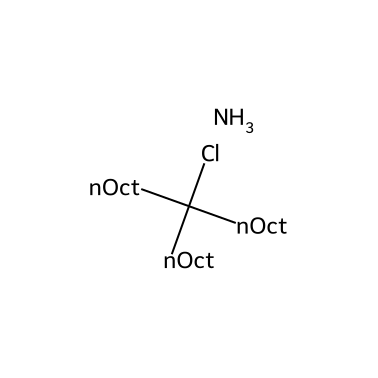 CCCCCCCCC(Cl)(CCCCCCCC)CCCCCCCC.N